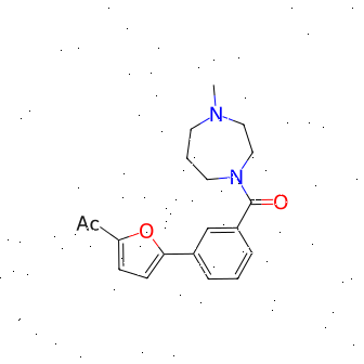 CC(=O)c1ccc(-c2cccc(C(=O)N3CCCN(C)CC3)c2)o1